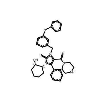 O=C(c1c(-c2ccccc2)n([C@@H]2CCCC[C@H]2O)c(=O)n1Cc1cccc(Oc2ccccc2)c1)N1CCNCC1